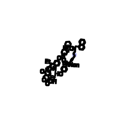 CCCCCCCCCc1ccc(O)cc1.CCc1c2c(nc3ccc(OC(=O)N4CCC(N5CCCCC5)CC4)cc13)-c1cc3c(c(=O)n1C2)COC(=O)[C@]3(O)CC.CN(C/C=C/C#CC(C)(C)C)Cc1cccc2ccccc12